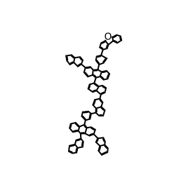 c1cc(-c2cccc3cc(-c4cccc5c(-c6c7ccccc7c(-c7ccc(-c8ccc9oc%10ccccc%10c9c8)cc7)c7cc(-c8ccc9ccccc9c8)ccc67)cccc45)ccc23)cc(-c2c3ccccc3c(-c3ccc4ccccc4c3)c3cc(-c4ccc5ccccc5c4)ccc23)c1